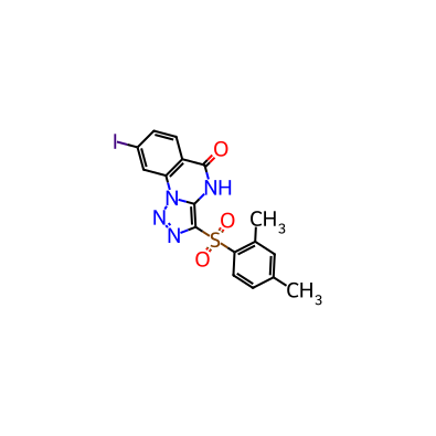 Cc1ccc(S(=O)(=O)c2nnn3c2[nH]c(=O)c2ccc(I)cc23)c(C)c1